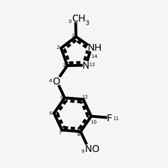 Cc1cc(Oc2ccc(N=O)c(F)c2)n[nH]1